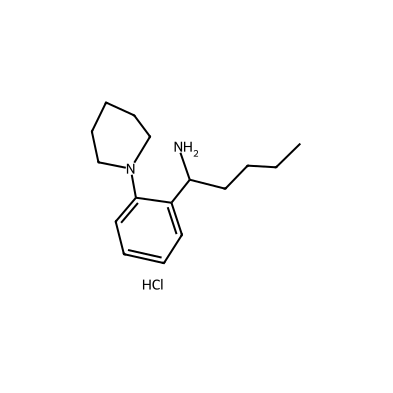 CCCCC(N)c1ccccc1N1CCCCC1.Cl